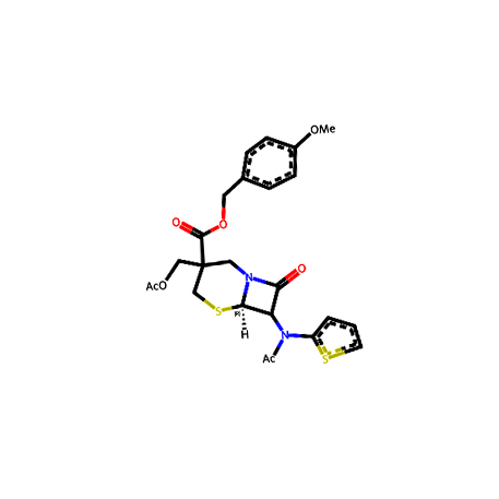 COc1ccc(COC(=O)C2(COC(C)=O)CS[C@@H]3C(N(C(C)=O)c4cccs4)C(=O)N3C2)cc1